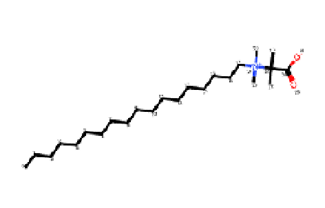 CCCCCCCCCCCCCCCCCC[N+](C)(C)C(C)(C)C(=O)[O-]